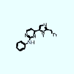 CC(C)Cc1ncc(-c2ccnc(Nc3ccccc3)n2)n1C